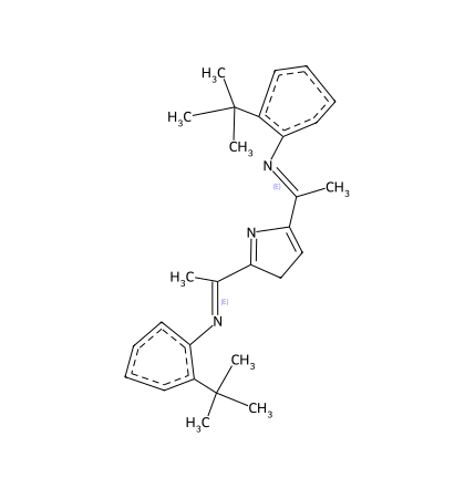 C/C(=N\c1ccccc1C(C)(C)C)C1=CCC(/C(C)=N/c2ccccc2C(C)(C)C)=N1